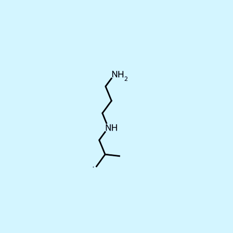 [CH2]C(C)CNCCCN